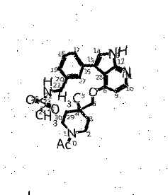 CC(=O)N1CCC(C)(COc2ccnc3[nH]cc(-c4cccc(CNS(C)(=O)=O)c4)c23)CC1